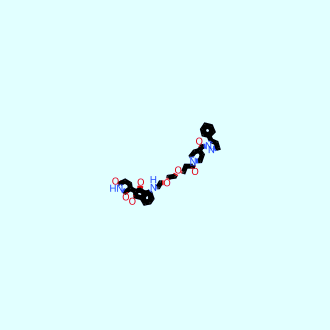 O=C1CCC(C2C(=O)c3cccc(NCCOCCOCCC(=O)N4CCC(C(=O)N5N=CCC5c5ccccc5)CC4)c3C2=O)C(=O)N1